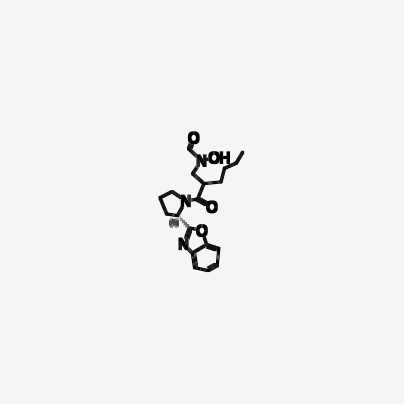 CCCCC(CN(O)C=O)C(=O)N1CCC[C@H]1c1nc2ccccc2o1